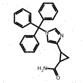 NC(=O)C1CC1c1cn(C(c2ccccc2)(c2ccccc2)c2ccccc2)cn1